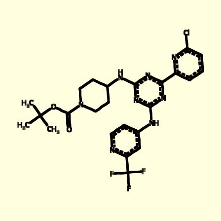 CC(C)(C)OC(=O)N1CCC(Nc2nc(Nc3ccnc(C(F)(F)F)c3)nc(-c3cccc(Cl)n3)n2)CC1